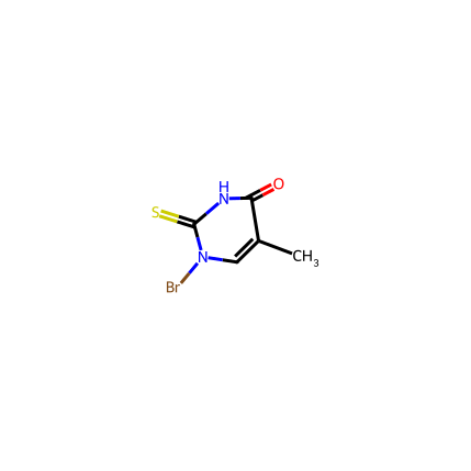 Cc1cn(Br)c(=S)[nH]c1=O